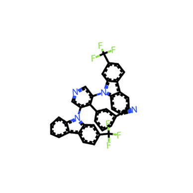 N#Cc1cccc(-c2c(-n3c4ccccc4c4ccc(C(F)(F)F)cc43)cncc2-n2c3ccccc3c3ccc(C(F)(F)F)cc32)c1